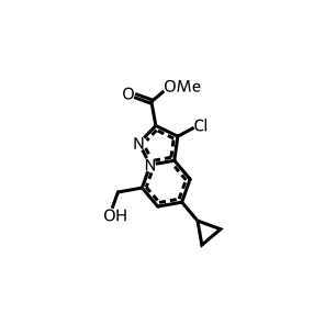 COC(=O)c1nn2c(CO)cc(C3CC3)cc2c1Cl